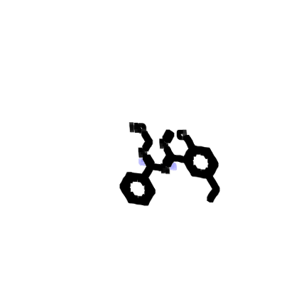 C=N/C(=N\C(=N/CO)c1ccccc1)c1cc(CC)ccc1Cl